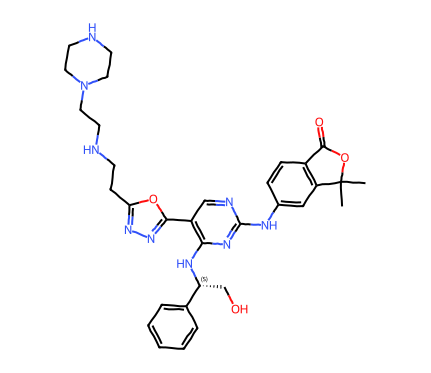 CC1(C)OC(=O)c2ccc(Nc3ncc(-c4nnc(CCNCCN5CCNCC5)o4)c(N[C@H](CO)c4ccccc4)n3)cc21